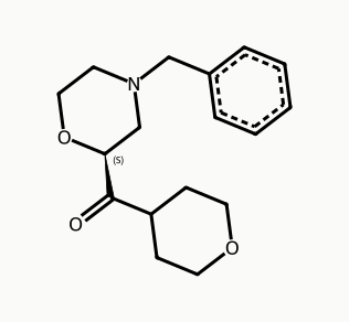 O=C(C1CCOCC1)[C@@H]1CN(Cc2ccccc2)CCO1